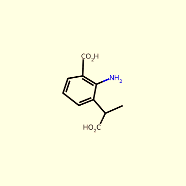 CC(C(=O)O)c1cccc(C(=O)O)c1N